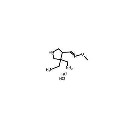 CON=CC1CNCC1(CN)CN.Cl.Cl